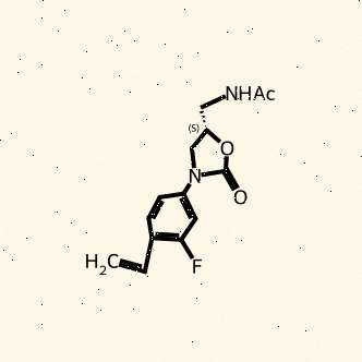 C=Cc1ccc(N2C[C@H](CNC(C)=O)OC2=O)cc1F